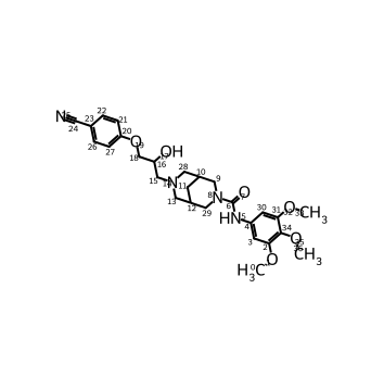 COc1cc(NC(=O)N2CC3CC(CN(CC(O)COc4ccc(C#N)cc4)C3)C2)cc(OC)c1OC